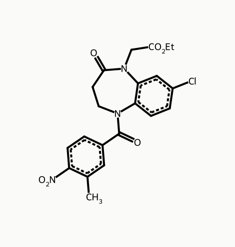 CCOC(=O)CN1C(=O)CCN(C(=O)c2ccc([N+](=O)[O-])c(C)c2)c2ccc(Cl)cc21